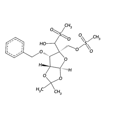 CC1(C)O[C@@H]2O[C@](COS(C)(=O)=O)(C(O)S(C)(=O)=O)[C@@H](OCc3ccccc3)[C@H]2O1